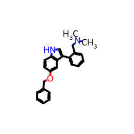 CN(C)Cc1ccccc1-c1c[nH]c2ccc(OCc3ccccc3)cc12